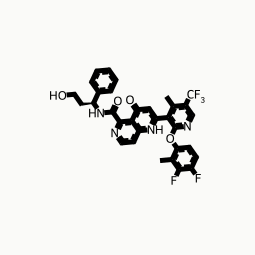 Cc1c(Oc2ncc(C(F)(F)F)c(C)c2-c2cc(=O)c3c(C(=O)N[C@@H](CCO)c4ccccc4)nccc3[nH]2)ccc(F)c1F